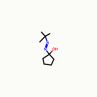 CC(C)(C)N=NC1(O)CCCC1